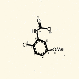 COc1ccc(Cl)c(NC(=O)Cl)c1